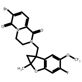 CC12CC1(CN1CCn3c(ccc(Br)c3=O)C1=O)c1cc(OC(F)(F)F)c(F)cc1O2